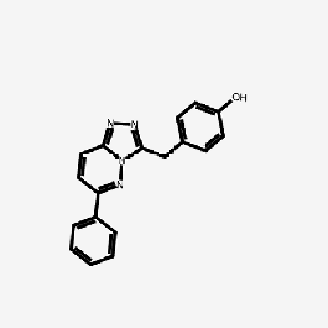 Oc1ccc(Cc2nnc3ccc(-c4ccccc4)nn23)cc1